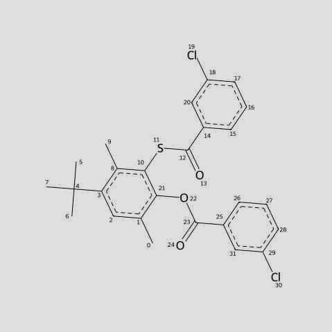 Cc1cc(C(C)(C)C)c(C)c(SC(=O)c2cccc(Cl)c2)c1OC(=O)c1cccc(Cl)c1